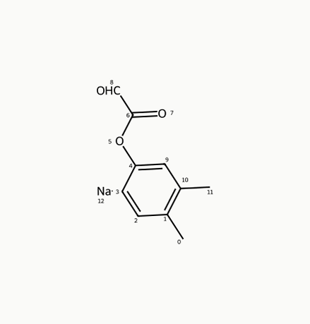 Cc1ccc(OC(=O)C=O)cc1C.[Na]